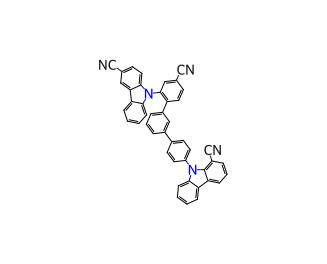 N#Cc1ccc(-c2cccc(-c3ccc(-n4c5ccccc5c5cccc(C#N)c54)cc3)c2)c(-n2c3ccccc3c3cc(C#N)ccc32)c1